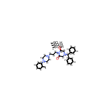 CS(=O)(=O)O.CS(=O)(=O)O.CS(=O)(=O)O.Cc1ccccc1N1CCN(CCCN2C(=O)CN(C(c3ccccc3)c3ccccc3)CC2=O)CC1